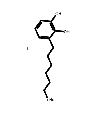 CCCCCCCCCCCCCCCc1cccc(O)c1O.[Ti]